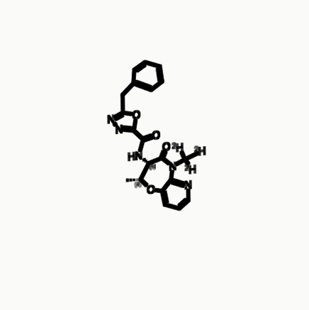 [2H]C([2H])([2H])N1C(=O)[C@@H](NC(=O)c2nnc(Cc3ccccc3)o2)[C@@H](C)Oc2cccnc21